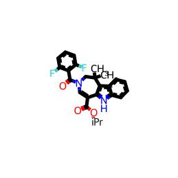 CC(C)OC(=O)C1=CN(C(=O)c2c(F)cccc2F)CC(C)(C)c2c1[nH]c1ccccc21